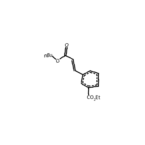 CCCCOC(=O)C=Cc1cccc(C(=O)OCC)c1